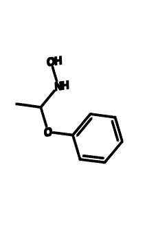 CC(NO)Oc1ccccc1